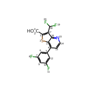 O=C(O)c1sc2c(-c3cc(F)cc(F)c3)ccnc2c1C(F)F